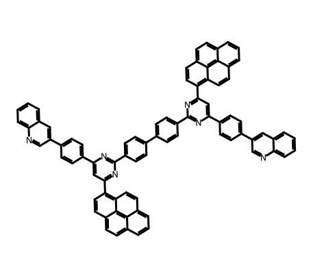 c1ccc2ncc(-c3ccc(-c4cc(-c5ccc6ccc7cccc8ccc5c6c78)nc(-c5ccc(-c6ccc(-c7nc(-c8ccc(-c9cnc%10ccccc%10c9)cc8)cc(-c8ccc9ccc%10cccc%11ccc8c9c%10%11)n7)cc6)cc5)n4)cc3)cc2c1